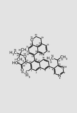 Cc1cc2cc(-c3cncnc3C(C)C)ccc2c(-c2ccc3c4c(ccnc24)CCO3)c1[C@H](OC(C)(C)C)C(=O)O